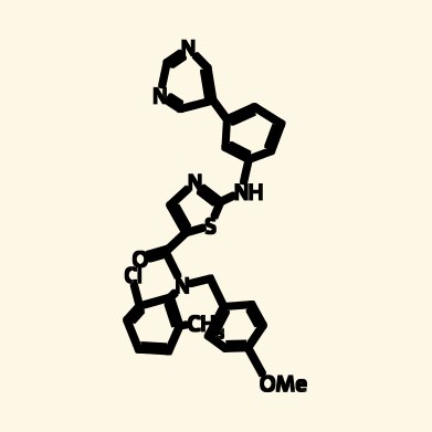 COc1ccc(CN(C(=O)c2cnc(Nc3cccc(-c4cncnc4)c3)s2)c2c(C)cccc2Cl)cc1